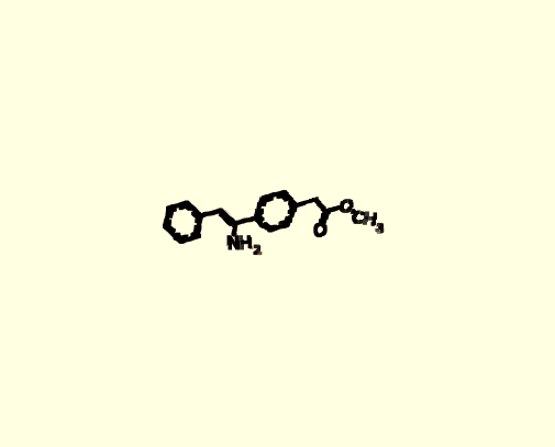 COC(=O)Cc1ccc(C(N)=Cc2ccccc2)cc1